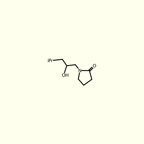 CC(C)CC(O)CN1CCCC1=O